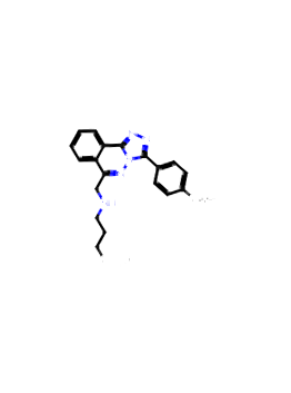 CCOC(=O)CCCNCc1nn2c(-c3ccc(OC)cc3)nnc2c2ccccc12